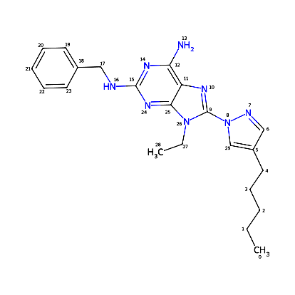 CCCCCc1cnn(-c2nc3c(N)nc(NCc4ccccc4)nc3n2CC)c1